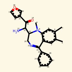 Cc1cc2c(cc1C)N(C)C(C(N)C(=O)c1ccoc1)CN=C2c1ccccc1